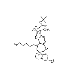 C=CCCCCCN1C[C@@]2(CCCc3cc(Cl)ccc32)COc2ccc([C@](O)(C(=O)OC)[C@@H](C)C(=O)OC(C)(C)C)cc21